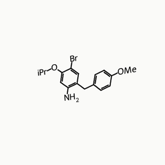 COc1ccc(Cc2cc(Br)c(OC(C)C)cc2N)cc1